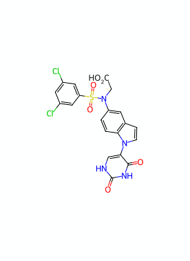 O=C(O)CN(c1ccc2c(ccn2-c2c[nH]c(=O)[nH]c2=O)c1)S(=O)(=O)c1cc(Cl)cc(Cl)c1